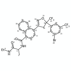 CCNC(=O)C(C)NC(=O)c1ccc(C2=NOC(c3cc(Br)cc(C(F)(F)F)c3)(C(F)(F)F)C2)c2ccccc12